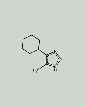 Cc1[nH]nnc1C1CCCCC1